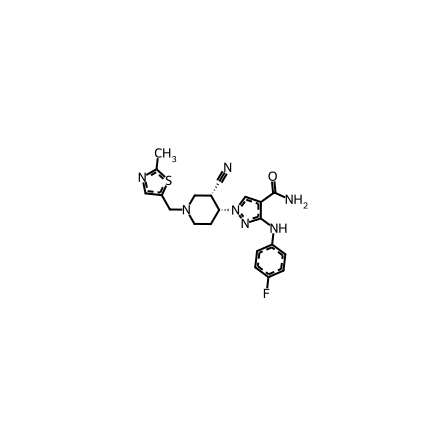 Cc1ncc(CN2CC[C@@H](n3cc(C(N)=O)c(Nc4ccc(F)cc4)n3)[C@@H](C#N)C2)s1